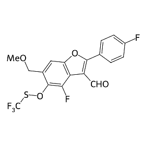 COCc1cc2oc(-c3ccc(F)cc3)c(C=O)c2c(F)c1OSC(F)(F)F